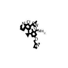 Cc1ncc(-c2cc(C3(c4cc(OCC5CCN5C)cc(C(N)=O)c4C)CC3)c3cccnc3c2Cl)s1